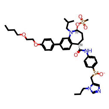 CCCCOCCOc1ccc(-c2ccc3c(c2)N(CC(C)C)[C@@H](OS(C)(=O)=O)CC[C@@H]3C(=O)Nc2ccc([S+]([O-])Cc3cncn3CCC)cc2)cc1